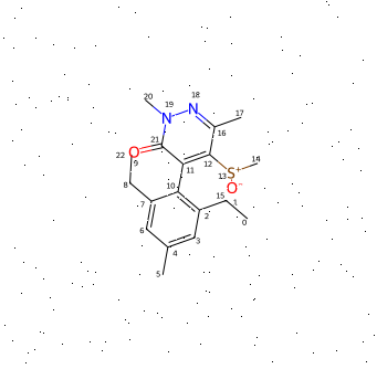 CCc1cc(C)cc(CC)c1-c1c([S+](C)[O-])c(C)nn(C)c1=O